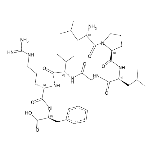 CC(C)C[C@H](NC(=O)[C@@H]1CCCN1C(=O)[C@@H](N)CC(C)C)C(=O)NCC(=O)N[C@H](C(=O)N[C@@H](CCCNC(=N)N)C(=O)N[C@@H](Cc1ccccc1)C(=O)O)C(C)C